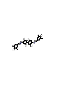 CC1=CC(=C/N=N/c2cc(Cl)c(-c3cc(Cl)c(/N=N/C=C4C=C(C)C(=O)C(C)=C4)cc3Cl)cc2Cl)C=C(C)C1=O